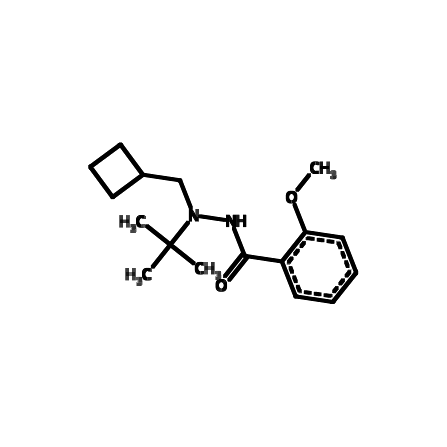 COc1ccccc1C(=O)NN(CC1CCC1)C(C)(C)C